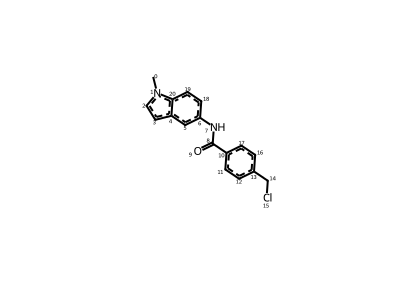 Cn1ccc2cc(NC(=O)c3ccc(CCl)cc3)ccc21